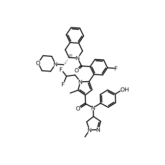 Cc1c(C(=O)N(c2ccc(O)cc2)C2C=NN(C)C2)cc(-c2cc(F)ccc2C(=O)N2Cc3ccccc3C[C@H]2CN2CCOCC2)n1CC(F)F